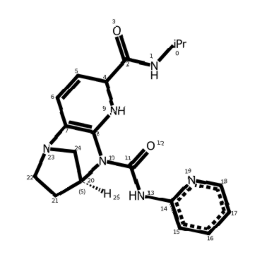 CC(C)NC(=O)C1C=CC2=C(N1)N(C(=O)Nc1ccccn1)[C@H]1CCN2C1